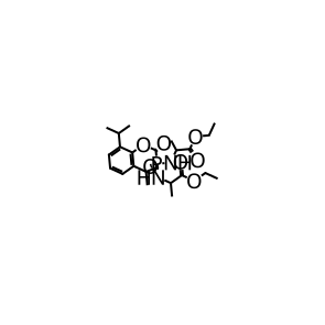 CCOC(=O)C(C)NP(=O)(NC(C)C(=O)OCC)C(=O)Oc1c(C(C)C)cccc1C(C)C